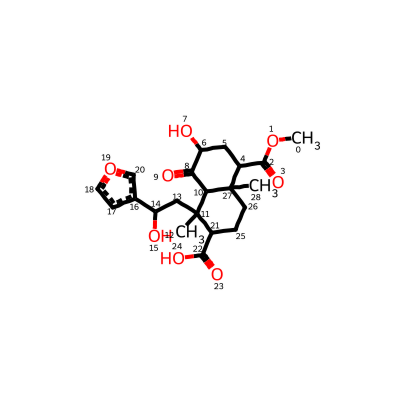 COC(=O)C1CC(O)C(=O)C2C(C)(CC(O)c3ccoc3)C(C(=O)O)CCC12C